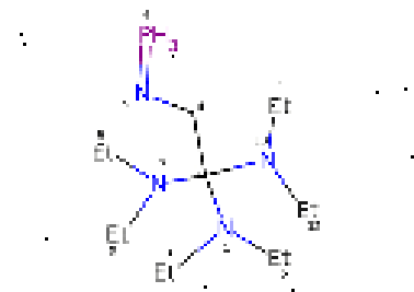 CCN(CC)C(CN=[PH3])(N(CC)CC)N(CC)CC